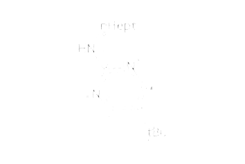 CCCCCCCNc1ncc(C(C)(C)C)cn1